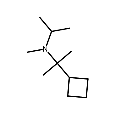 CC(C)N(C)C(C)(C)C1CCC1